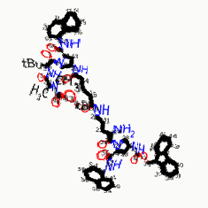 C[C@@H](C(=O)N[C@H](C(=O)N1C[C@@H](NC(=O)CCCC(=O)NCCC[C@H](N)C(=O)N2C[C@@H](NC(=O)OCC3c4ccccc4-c4ccccc43)C[C@H]2C(=O)N[C@@H]2CCCc3ccccc32)C[C@H]1C(=O)NC1CCCc2ccccc21)C(C)(C)C)N(C)C(=O)OC(C)(C)C